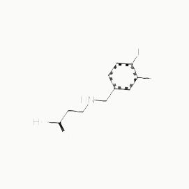 O=C(O)CCNCc1ccc(F)c(F)c1